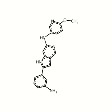 COc1ccc(Nc2cc3[nH]c(-c4cccc(N)c4)cc3cn2)cn1